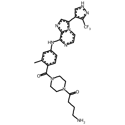 Cc1cc(Nc2nccn3c(-c4c[nH]nc4C(F)(F)F)cnc23)ccc1C(=O)N1CCN(C(=O)CCCN)CC1